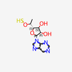 CC(OS)[C@H]1O[C@@H](n2cnc3cncnc32)[C@H](O)[C@@H]1O